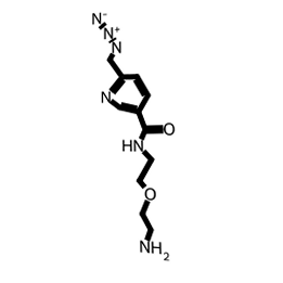 [N-]=[N+]=NCc1ccc(C(=O)NCCOCCN)cn1